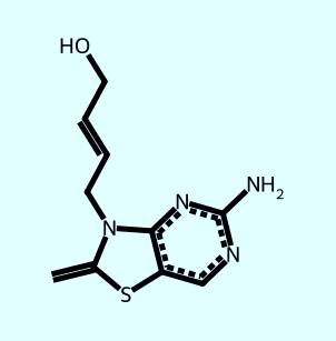 C=C1Sc2cnc(N)nc2N1C/C=C/CO